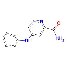 NC(=O)c1cc(Nc2ccccc2)ccn1